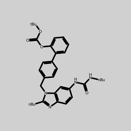 CCCCNC(=O)Nc1ccc2nc(CCCC)n(Cc3ccc(-c4ccccc4OC(=O)OC(C)(C)C)cc3)c2c1